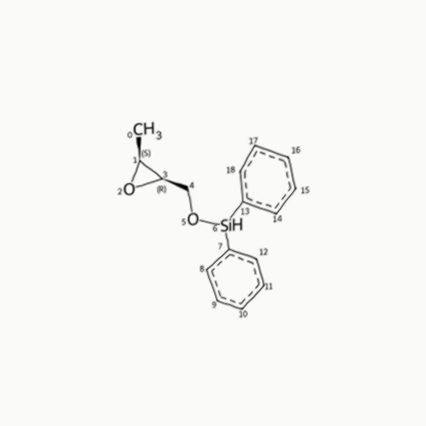 C[C@@H]1O[C@@H]1CO[SiH](c1ccccc1)c1ccccc1